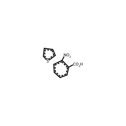 O=C(O)c1ccccc1[N+](=O)[O-].c1ccsc1